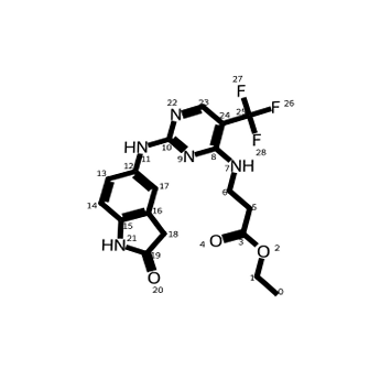 CCOC(=O)CCNc1nc(Nc2ccc3c(c2)CC(=O)N3)ncc1C(F)(F)F